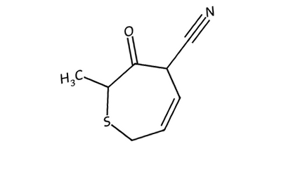 CC1SCC=CC(C#N)C1=O